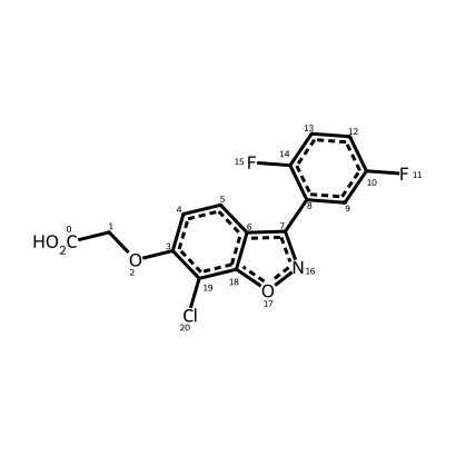 O=C(O)COc1ccc2c(-c3cc(F)ccc3F)noc2c1Cl